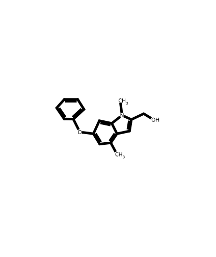 Cc1cc(Oc2ccccc2)cc2c1cc(CO)n2C